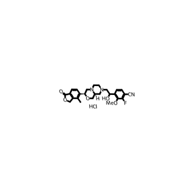 COc1c(C(O)CN2CCN3C[C@H](c4ccc5c(c4C)COC5=O)OC[C@@H]3C2)ccc(C#N)c1F.Cl